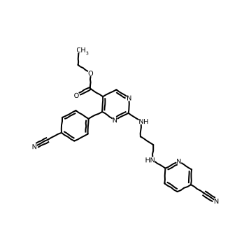 CCOC(=O)c1cnc(NCCNc2ccc(C#N)cn2)nc1-c1ccc(C#N)cc1